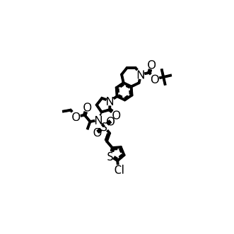 CCOC(=O)C(C)N([C@H]1CCN(c2ccc3c(c2)CCCN(C(=O)OC(C)(C)C)C3)C1=O)S(=O)(=O)C=Cc1ccc(Cl)s1